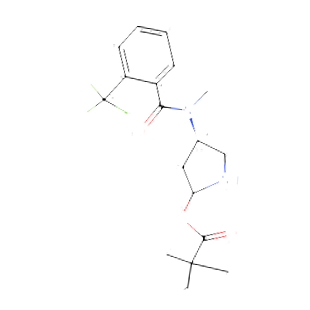 CN(C(=O)c1ccccc1C(F)(F)F)[C@H]1CNC(OC(=O)C(C)(C)C)C1